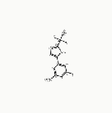 Cc1cc(N)cc(-c2cnc(C(C)(C)O)s2)c1